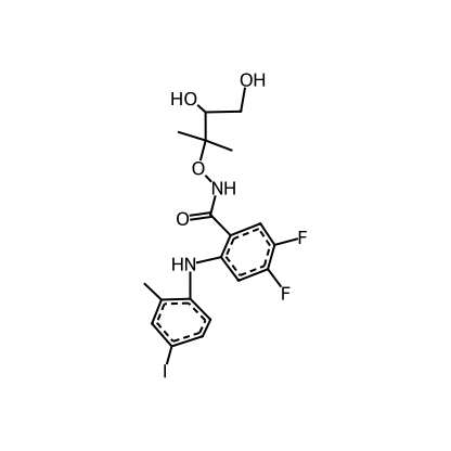 Cc1cc(I)ccc1Nc1cc(F)c(F)cc1C(=O)NOC(C)(C)C(O)CO